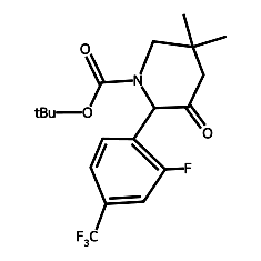 CC1(C)CC(=O)C(c2ccc(C(F)(F)F)cc2F)N(C(=O)OC(C)(C)C)C1